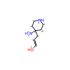 NC1(CC=CO)CCNCC1